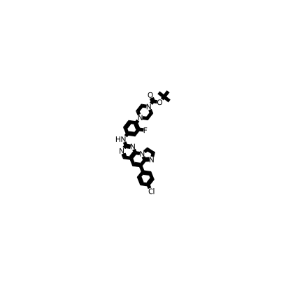 CC(C)(C)OC(=O)N1CCN(c2ccc(Nc3ncc4c(n3)N3CCN=C3C(c3ccc(Cl)cc3)=C4)cc2F)CC1